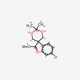 COC(=O)C1(c2ccc(F)cc2)COC(C)(C)OC1